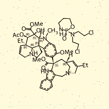 CCC1=C[C@@H]2C[N@](C1)Cc1c([nH]c3ccccc13)[C@@](C(=O)OC)(c1cc3c(cc1OC)N(C)[C@H]1[C@@](O)(C(=O)OC)[C@H](OC(C)=O)[C@]4(CC)C=CCN5CC[C@]31[C@@H]54)C2.O=P1(N(CCCl)CCCl)NCCCO1